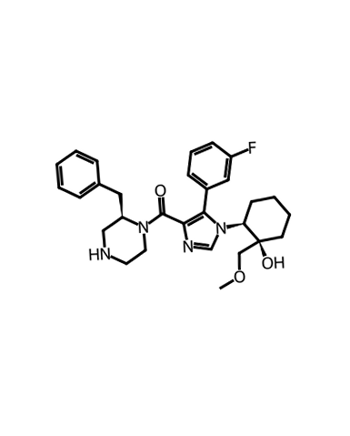 COC[C@@]1(O)CCCC[C@@H]1n1cnc(C(=O)N2CCNC[C@H]2Cc2ccccc2)c1-c1cccc(F)c1